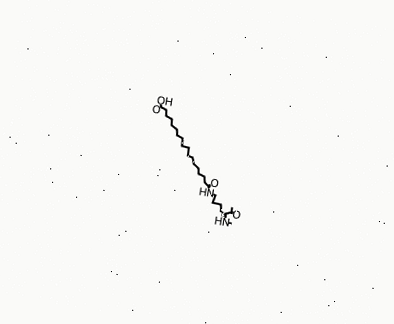 CN[C@@H](CCCCNC(=O)CCCCCCCCCCCCCCCCC(=O)O)C(C)=O